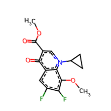 COC(=O)c1cn(C2CC2)c2c(OC)c(F)c(F)cc2c1=O